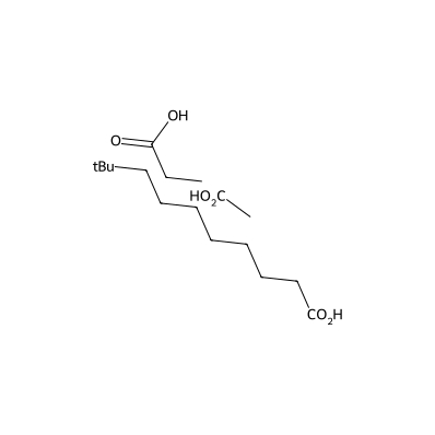 CC(=O)O.CC(C)(C)CCCCCCCC(=O)O.CCC(=O)O